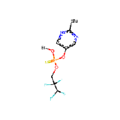 CCOP(=S)(OCC(F)(F)C(F)F)Oc1cnc(C(C)(C)C)nc1